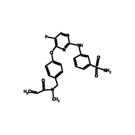 C=CC(=O)N(C)Cc1ccc(Oc2nc(Nc3cccc(S(N)(=O)=O)c3)ncc2F)cc1